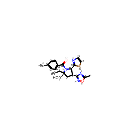 Cc1nc([C@H]2C[C@@](CC(C)C)(C(=O)O)N(C(=O)c3ccc(C(C)(C)C)cc3)[C@H]2c2nccs2)no1